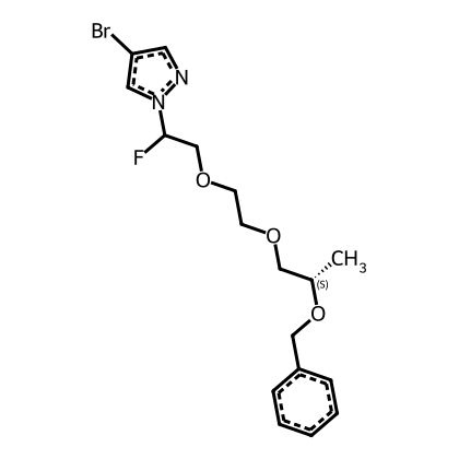 C[C@@H](COCCOCC(F)n1cc(Br)cn1)OCc1ccccc1